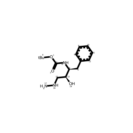 CC(C)(C)OC(=O)N[C@@H](Cc1ccccc1)[C@@H](O)CNN